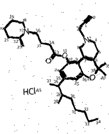 C#CCN1CCC2=C(C1)c1c(OC(=O)CCCN3CCCCC3C)cc(C(C)C(C)CCCCC)cc1OC2(C)C.Cl